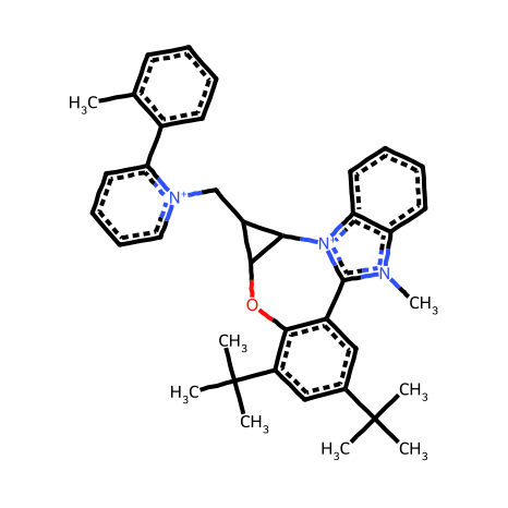 Cc1ccccc1-c1cccc[n+]1CC1C2Oc3c(cc(C(C)(C)C)cc3C(C)(C)C)-c3n(C)c4ccccc4[n+]3C12